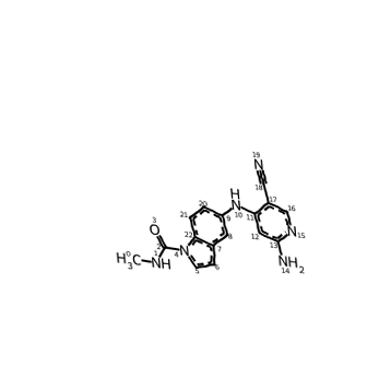 CNC(=O)n1ccc2cc(Nc3cc(N)ncc3C#N)ccc21